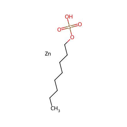 CCCCCCCCOS(=O)(=O)O.[Zn]